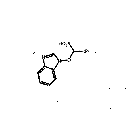 CCCC(On1cnc2ccccc21)S(=O)(=O)O